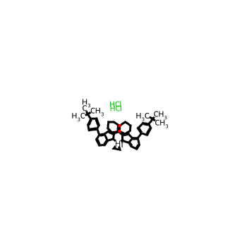 CC(C)(C)c1ccc(-c2cccc3c2C=C(C2CCCCC2)[CH]3[Hf]2([CH]3C(C4CCCCC4)=Cc4c(-c5ccc(C(C)(C)C)cc5)cccc43)[CH2][CH2]2)cc1.Cl.Cl